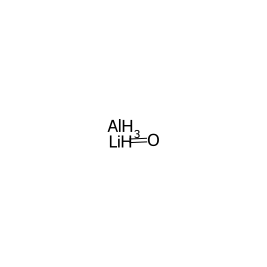 C=O.[AlH3].[LiH]